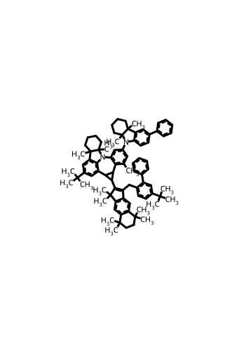 Cc1cc(N2c3ccc(-c4ccccc4)cc3C3(C)CCCCC23C)cc2c1C1C(C3=C(Cc4ccc(C(C)(C)C)cc4-c4ccccc4)c4cc5c(cc4C3(C)C)C(C)(C)CCC5(C)C)C1c1cc(C(C)(C)C)cc3c1N2C1(C)CCCCC31C